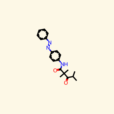 CC(C)C(=O)C(C)(C)C(=O)Nc1ccc(N=Nc2ccccc2)cc1